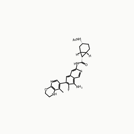 CC(=O)N[C@@H]1CC[C@H]2[C@@H](C1)[C@H]2C(=O)Nc1cc2cc(-c3cnc4c(c3C)NCCO4)c(F)c(N)c2cn1